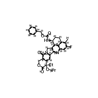 CC[C@@]1(OC(C)C)C(=O)OCc2c1cc1n(c2=O)Cc2c-1nc1cc(F)c(C)c3c1c2[C@@H](NC(=O)OCc1ccccc1)CC3